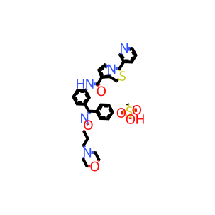 CS(=O)(=O)O.O=C(Nc1cccc(/C(=N/OCCCN2CCOCC2)c2ccccc2)c1)c1ccn2c1CSC2c1cccnc1